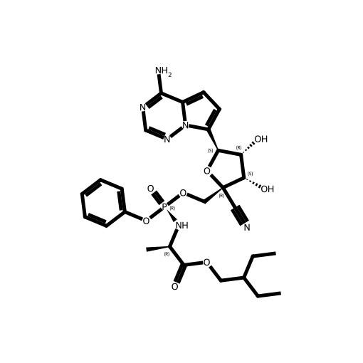 CCC(CC)COC(=O)[C@@H](C)N[P@@](=O)(OC[C@@]1(C#N)O[C@@H](c2ccc3c(N)ncnn23)[C@H](O)[C@@H]1O)Oc1ccccc1